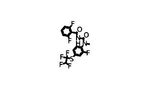 CN(C(=O)NC(=O)c1c(F)cccc1F)c1ccc(SC(F)(F)C(F)F)cc1F